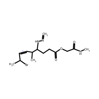 C=NNC(CCC(=O)OCC(=O)NC)C(C)/C=C\C(C)Br